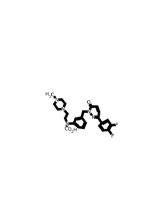 CN1CCN(CCN(C(=O)O)c2cccc(Cn3nc(-c4ccc(F)c(F)c4)ccc3=O)c2)CC1